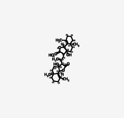 CC1=C2[C@H]3OC(=O)C(CN(C)C4C(=O)O[C@H]5C6=C(C)CCC[C@]6(C)CCC45O)C3(O)CC[C@@]2(C)CCC1.Cl